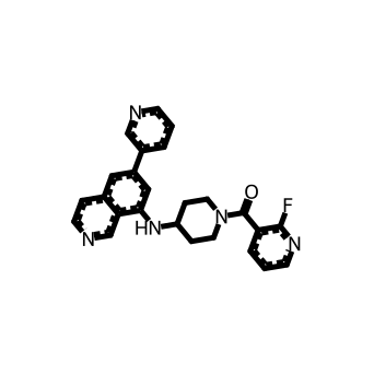 O=C(c1cccnc1F)N1CCC(Nc2cc(-c3cccnc3)cc3ccncc23)CC1